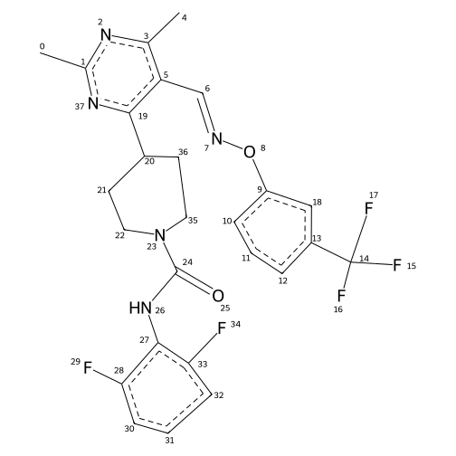 Cc1nc(C)c(C=NOc2cccc(C(F)(F)F)c2)c(C2CCN(C(=O)Nc3c(F)cccc3F)CC2)n1